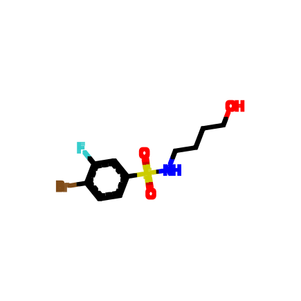 O=S(=O)(NCCCCO)c1ccc(Br)c(F)c1